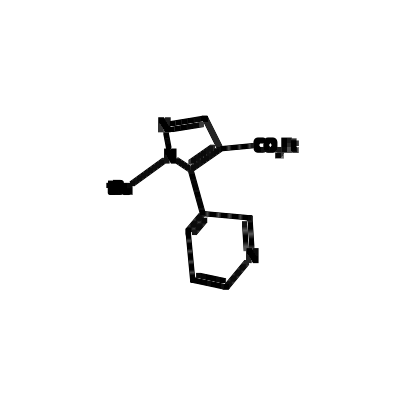 CCOC(=O)c1cnn(C(C)(C)C)c1-c1cccnc1